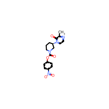 Cc1nccn([C@@H]2CCCN(C(=O)Oc3ccc([N+](=O)[O-])cc3)C2)c1=O